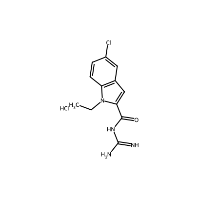 CCn1c(C(=O)NC(=N)N)cc2cc(Cl)ccc21.Cl